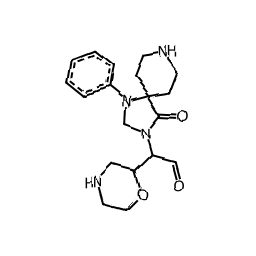 O=CC(C1CNCCO1)N1CN(c2ccccc2)C2(CCNCC2)C1=O